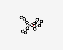 c1ccc(-c2cccc(N(c3ccccc3-c3cccc(N(c4ccc(-c5ccc6ccccc6c5)cc4)c4ccc(-c5cccc6ccccc56)cc4)c3)c3cccc4c3oc3ccccc34)c2)cc1